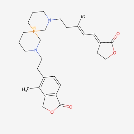 CC/C(=C\C=C1/CCOC1=O)CCN1CCC[PH]2(CCCN(CCc3ccc4c(c3C)COC4=O)C2)C1